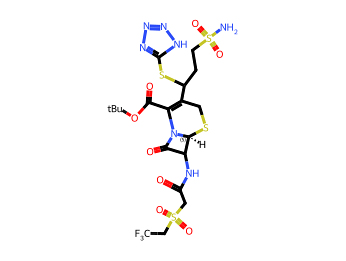 CC(C)(C)OC(=O)C1=C(C(CCS(N)(=O)=O)Sc2nnn[nH]2)CS[C@H]2C(NC(=O)CS(=O)(=O)CC(F)(F)F)C(=O)N12